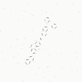 CC1(C)c2cc(/C=C/c3ccc4cc(N(c5ccccn5)c5ccccn5)ccc4c3)cc3ccc4cc(-c5ccc6ccccc6c5)cc1c4c23